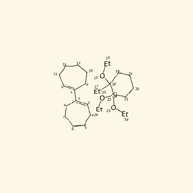 C1=C(C2=CCCCCC2)CCCCC1.CCOC1(CC)CCCC[Si]1(OCC)OCC